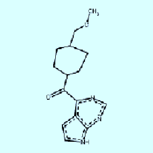 COCC1CCC(C(=O)c2ncnc3[nH]ccc23)CC1